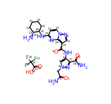 NC(=O)Cn1cc(NC(=O)c2cnn3ccc(N[C@@H]4CCCC[C@@H]4N)nc23)c(C(N)=O)n1.O=C(O)C(F)(F)F